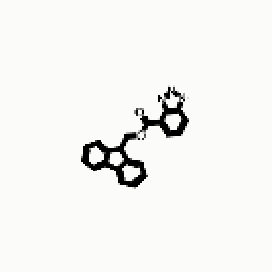 O=C(OCC1c2ccccc2-c2ccccc21)c1cccc2c1N=N[N]2